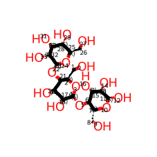 OC[C@H]1O[C@@H](OC2[C@@H](CO)O[C@H](O)[C@H](O)[C@H]2O)[C@H](O)[C@@H](O)C1O[C@@H]1O[C@H](CO)[C@@H](O)[C@H](O)[C@H]1O